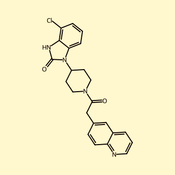 O=C(Cc1ccc2ncccc2c1)N1CCC(n2c(=O)[nH]c3c(Cl)cccc32)CC1